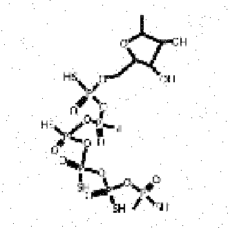 CC1OC(COP(=O)(S)OP(=O)(S)OP(=O)(S)OP(=O)(S)OP(=O)(S)OP(C)(=O)S)C(O)C1O